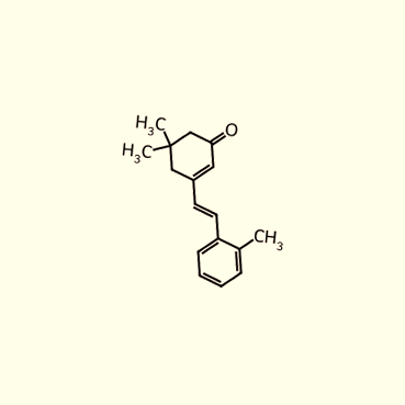 Cc1ccccc1C=CC1=CC(=O)CC(C)(C)C1